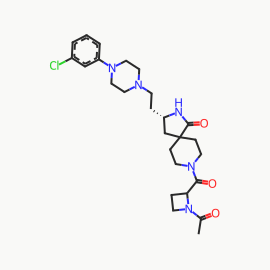 CC(=O)N1CCC1C(=O)N1CCC2(CC1)C[C@H](CCN1CCN(c3cccc(Cl)c3)CC1)NC2=O